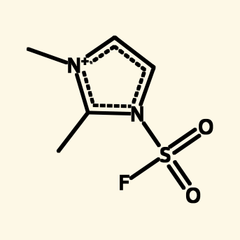 Cc1n(S(=O)(=O)F)cc[n+]1C